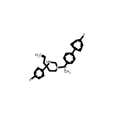 C=CCC1(c2ccc(F)cc2)CCN([C@@H](C)c2ccc(-c3ccc(F)cc3)cc2)CN1